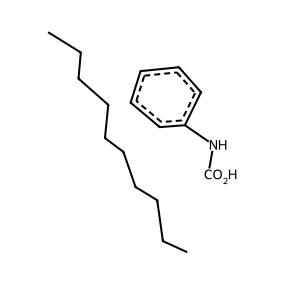 CCCCCCCCCC.O=C(O)Nc1ccccc1